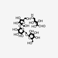 O=C[C@@H](O)[C@H](O)[C@H](O)CO.OC[C@H]1O[C@H](OC[C@H]2O[C@H](O[C@]3(CO)O[C@H](CO)[C@@H](O)[C@@H]3O)[C@H](O)[C@@H](O)[C@@H]2O)[C@H](O)[C@@H](O)[C@H]1O